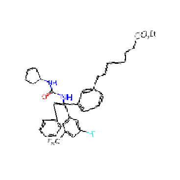 CCOC(=O)CCCCCCc1cccc(C(Cc2ccccc2)(NC(=O)NC2CCCC2)c2cc(F)cc(C(F)(F)F)c2)c1